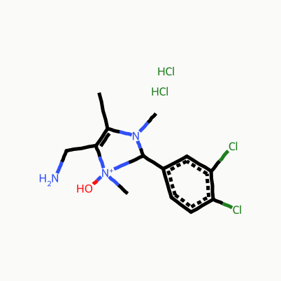 CC1=C(CN)[N+](C)(O)C(c2ccc(Cl)c(Cl)c2)N1C.Cl.Cl